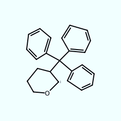 [C]1OCCCC1C(c1ccccc1)(c1ccccc1)c1ccccc1